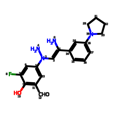 N/C(=C\N(N)c1cc(F)c(O)c(C=O)c1)c1cccc(N2CCCC2)c1